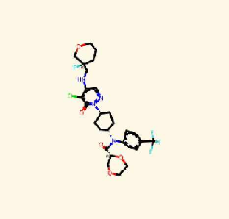 O=C([C@H]1COCCO1)N(c1ccc(C(F)(F)F)cc1)[C@H]1CC[C@H](n2ncc(NC[C@@]3(F)CCCOC3)c(Cl)c2=O)CC1